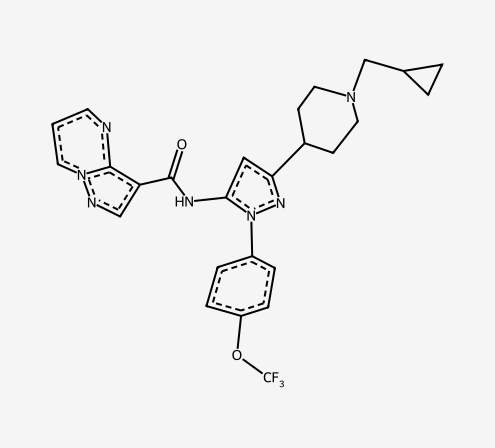 O=C(Nc1cc(C2CCN(CC3CC3)CC2)nn1-c1ccc(OC(F)(F)F)cc1)c1cnn2cccnc12